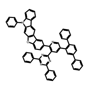 c1ccc(-c2ccc(-c3ccccc3)c(-c3cnc(-c4ccc5oc6cc7c(cc6c5c4)c4ccccc4n7-c4ccccc4)c(-c4nc(-c5ccccc5)nc(-c5ccccc5)n4)c3)c2)cc1